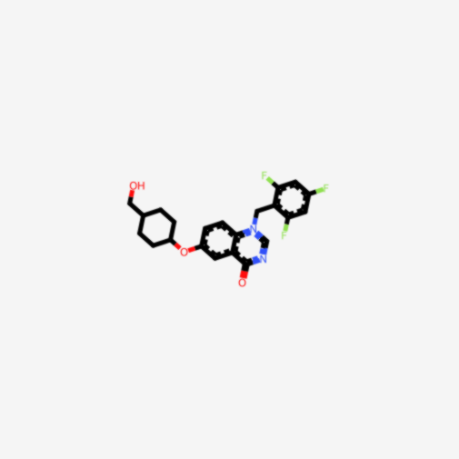 O=c1ncn(Cc2c(F)cc(F)cc2F)c2ccc(OC3CCC(CO)CC3)cc12